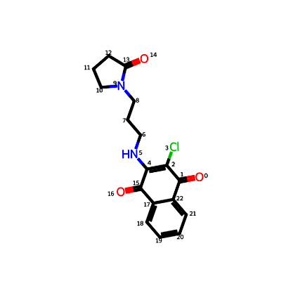 O=C1C(Cl)=C(NCCCN2CCCC2=O)C(=O)c2ccccc21